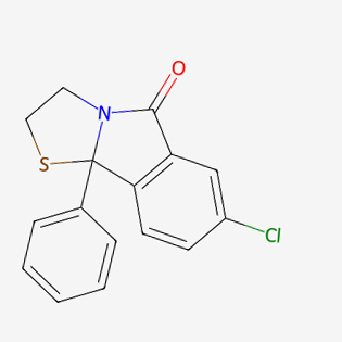 O=C1c2cc(Cl)ccc2C2(c3ccccc3)SCCN12